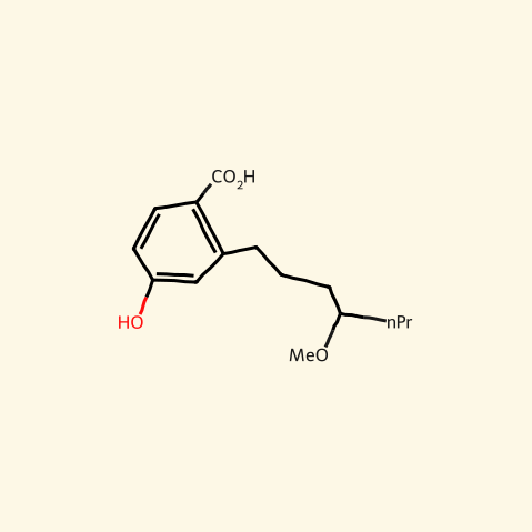 CCCC(CCCc1cc(O)ccc1C(=O)O)OC